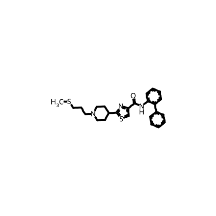 CSCCCN1CCC(c2nc(C(=O)Nc3ccccc3-c3ccccc3)cs2)CC1